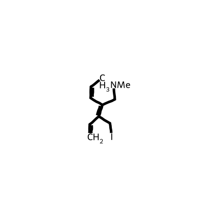 C=C/C(CI)=C(\C=C/C)CNC